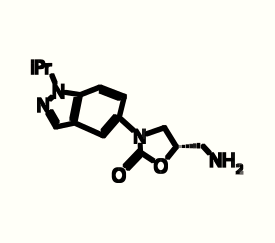 CC(C)n1ncc2cc(N3C[C@H](CN)OC3=O)ccc21